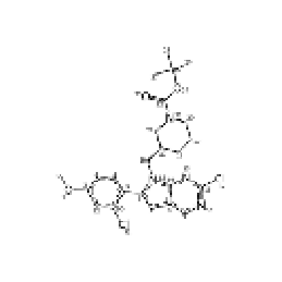 COc1ccc(-c2cc3cnc(Cl)nc3n2C[C@@H]2CCCN(C(=O)OC(C)(C)C)C2)c(Cl)c1